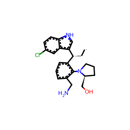 [CH2]C[C@H](c1cccc(CN)c1N1CCC[C@H]1CO)c1c[nH]c2ccc(Cl)cc12